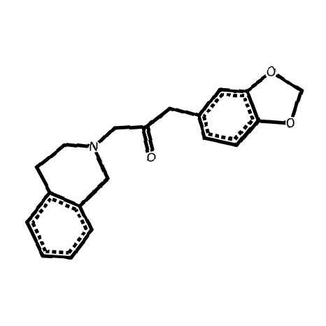 O=C(Cc1ccc2c(c1)OCO2)CN1CCc2ccccc2C1